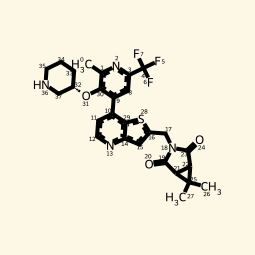 Cc1nc(C(F)(F)F)cc(-c2ccnc3cc(CN4C(=O)C5C(C4=O)C5(C)C)sc23)c1O[C@H]1CCCNC1